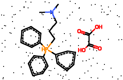 CN(C)CCC[PH](c1ccccc1)(c1ccccc1)c1ccccc1.O=C(O)C(=O)O